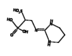 O=P(O)(O)C(CN=C1NCCCN1)S(=O)(=O)O